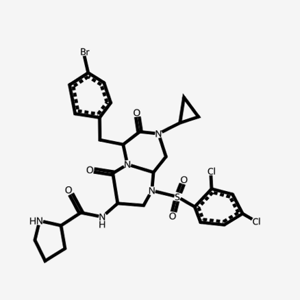 O=C(NC1CN(S(=O)(=O)c2ccc(Cl)cc2Cl)C2CN(C3CC3)C(=O)C(Cc3ccc(Br)cc3)N2C1=O)C1CCCN1